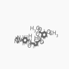 COC(=O)c1cc(OC)ccc1NC(=O)c1ccc(C(=O)Nc2ccc(-n3cncn3)cc2)s1